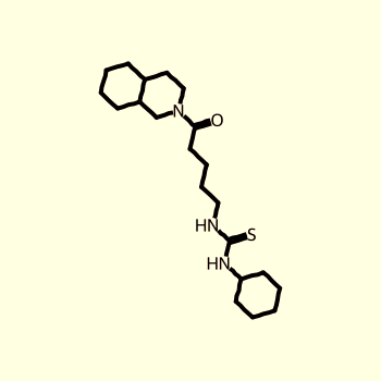 O=C(CCCCNC(=S)NC1CCCCC1)N1CCC2CCCCC2C1